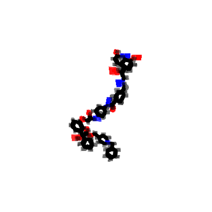 O=C(COc1cccc([C@](O)(C(=O)OCC2CCN(Cc3ccccc3)CC2)c2ccccc2)c1)NC1CCC(NC(=O)c2ccc(CNC[C@H](O)c3ccc(O)c4[nH]c(=O)ccc34)cc2)CC1